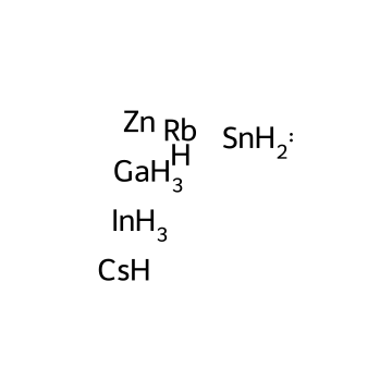 [CsH].[GaH3].[InH3].[RbH].[SnH2].[Zn]